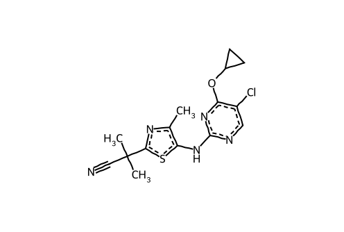 Cc1nc(C(C)(C)C#N)sc1Nc1ncc(Cl)c(OC2CC2)n1